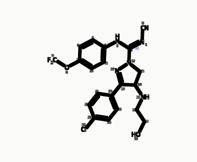 N#C/N=C(\Nc1ccc(OC(F)(F)F)cc1)N1CC(NCCO)C(c2ccc(Cl)cc2)=N1